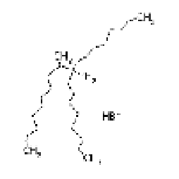 Br.CCCCCCCCC(C)C(P)(CCCCCCCC)CCCCCCCC